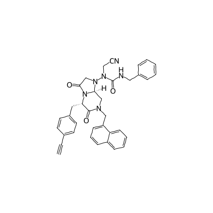 C#Cc1ccc(C[C@H]2C(=O)N(Cc3cccc4ccccc34)C[C@H]3N2C(=O)CN3N(CC#N)C(=O)NCc2ccccc2)cc1